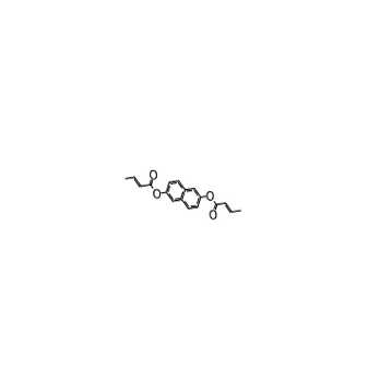 CC=CC(=O)Oc1ccc2cc(OC(=O)C=CC)ccc2c1